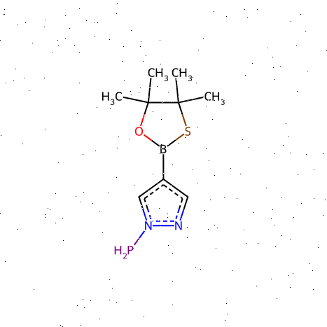 CC1(C)OB(c2cnn(P)c2)SC1(C)C